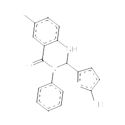 Cc1ccc(C2Nc3ccc(I)cc3C(=O)N2c2ccccc2)s1